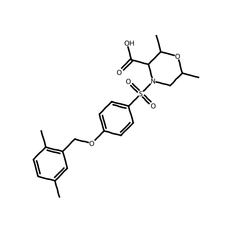 Cc1ccc(C)c(COc2ccc(S(=O)(=O)N3CC(C)OC(C)C3C(=O)O)cc2)c1